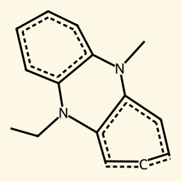 CCN1c2ccccc2N(C)c2ccccc21